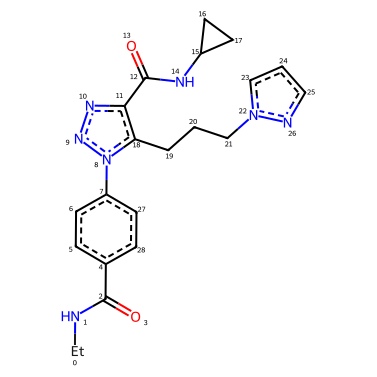 CCNC(=O)c1ccc(-n2nnc(C(=O)NC3CC3)c2CCCn2cccn2)cc1